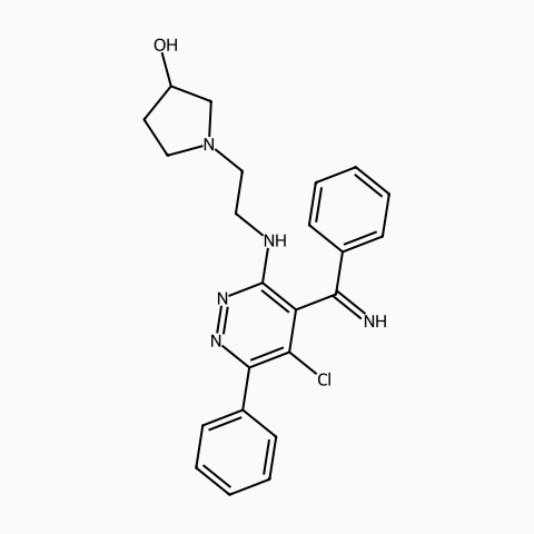 N=C(c1ccccc1)c1c(NCCN2CCC(O)C2)nnc(-c2ccccc2)c1Cl